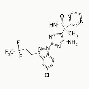 CC1(c2cnccn2)C(=O)Nc2nc(-n3nc(CCC(F)(F)C(F)(F)F)c4cc(Cl)ccc43)nc(N)c21